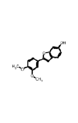 COc1ccc(-c2cc3ccc(O)cc3o2)cc1OC